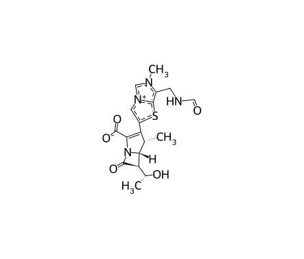 C[C@@H](O)[C@H]1C(=O)N2C(C(=O)[O-])=C(c3c[n+]4cn(C)c(CNC=O)c4s3)[C@H](C)[C@H]12